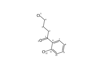 O=C(CCCCl)c1ccccc1Cl